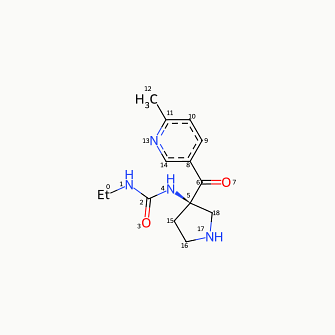 CCNC(=O)N[C@]1(C(=O)c2ccc(C)nc2)CCNC1